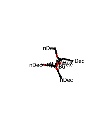 CCCCCCCCCCCCCCCCCCCCC#Cc1cc(C#CCCCCCCCCCCCCCCCCCCCC)cc(C2=C(CCCCCC)C(CCCCCC)=C(c3cc(CCCC)cc(CCCC)c3)[N+]2=[N-])c1.CCCCCCCCCCCCCCCCCCCCCCCC[CH2][Pd][CH2]CCCCCCCCCCCCCCCCCCCCCCCC